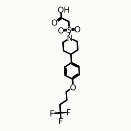 O=C(O)CS(=O)(=O)N1CCC(c2ccc(OCCCC(F)(F)F)cc2)CC1